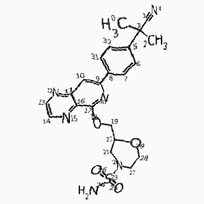 CC(C)(C#N)c1ccc(-c2cc3nccnc3c(OCC3CN(S(N)(=O)=O)CCO3)n2)cc1